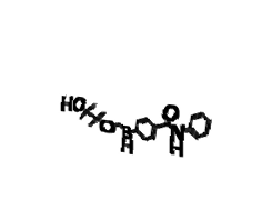 CC(C)(O)C(C)(C)OCBc1ccc(C(=O)Nc2ccccc2)cc1